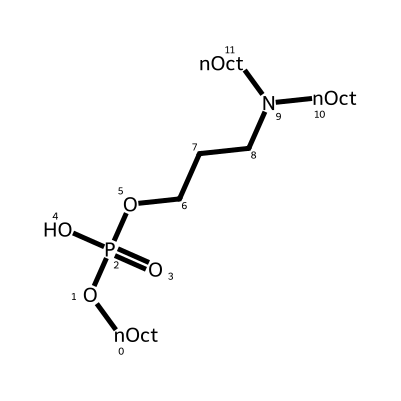 CCCCCCCCOP(=O)(O)OCCCN(CCCCCCCC)CCCCCCCC